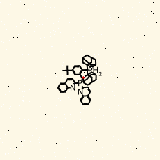 CC(C)(C)c1ccc(C(P)(C23CC4CC(CC(C4)C2)C3)C23CC4CC(CC(C4)C2)C3)c(CP(c2ccc3ccccc3n2)c2ccc3ccccc3n2)c1